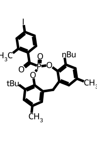 CCCCc1cc(C)cc2c1OP(=O)(C(=O)c1ccc(I)cc1C)Oc1c(cc(C)cc1C(C)(C)C)C2